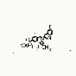 CC1(C)CC(N(Cc2ccc(C(=O)OC(C)(C)C)cc2)c2cnc3ccc(F)cc3c2)C1